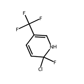 FC1(Cl)C=CC(C(F)(F)F)=CN1